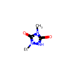 CCn1[nH]c(=O)n(C)c1=O